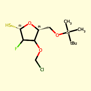 CC(C)(C)[Si](C)(C)OC[C@H]1O[C@@H](S)C(F)C1OCCl